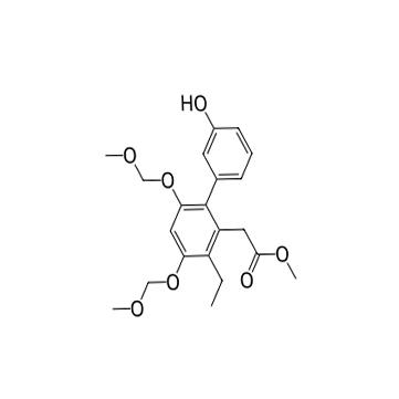 CCc1c(OCOC)cc(OCOC)c(-c2cccc(O)c2)c1CC(=O)OC